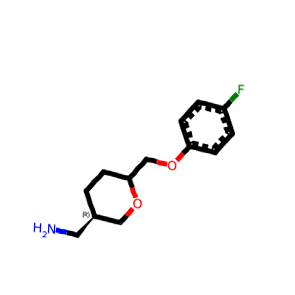 NC[C@H]1CCC(COc2ccc(F)cc2)OC1